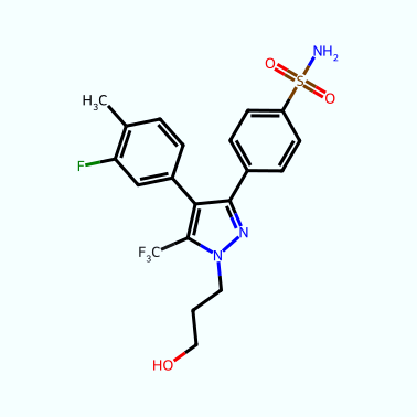 Cc1ccc(-c2c(-c3ccc(S(N)(=O)=O)cc3)nn(CCCO)c2C(F)(F)F)cc1F